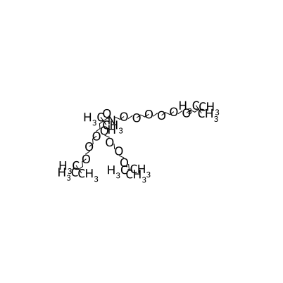 CC(C)(C)CCOCCOCCOCCOCCOCCOCCNC(=O)C(C)(C)CC(COCCOCCOCCC(C)(C)C)OCCOCCOCCOCC(C)(C)C